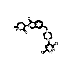 O=C1CCC(N2Cc3cc(CN4CCN(c5cc(Cl)nnc5Cl)CC4)ccc3C2=O)C(=O)N1